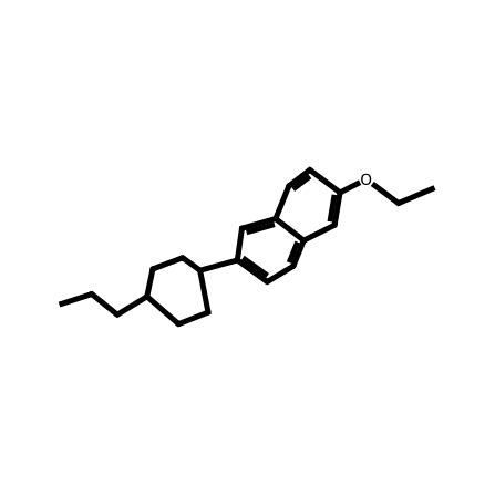 CCCC1CCC(c2ccc3cc(OCC)ccc3c2)CC1